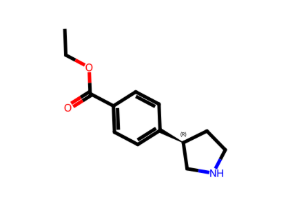 CCOC(=O)c1ccc([C@H]2CCNC2)cc1